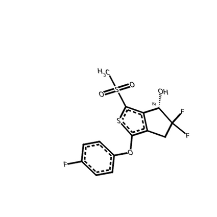 CS(=O)(=O)c1sc(Oc2ccc(F)cc2)c2c1[C@H](O)C(F)(F)C2